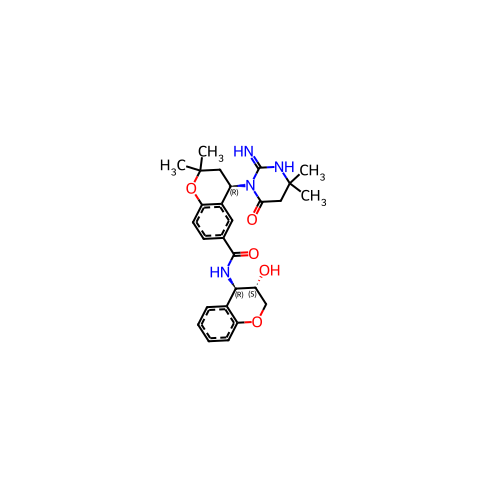 CC1(C)CC(=O)N([C@@H]2CC(C)(C)Oc3ccc(C(=O)N[C@@H]4c5ccccc5OC[C@H]4O)cc32)C(=N)N1